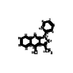 FC(F)(F)c1nn(-c2ccccn2)c2nc3ccccc3c(Cl)c12